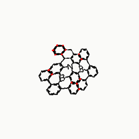 c1ccc(-c2cccc(-c3ccccc3)c2B2c3cccc4c3N3c5c2cccc5C25c6ccccc6C(c6ccccc62)c2ccc(c3c25)B4c2c(-c3ccccc3)cccc2-c2ccccc2)cc1